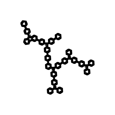 c1ccc(-c2ccc(N(c3ccc(-c4ccc(-c5cccc(N(c6ccc(-c7ccc(N(c8ccccc8)c8ccccc8)cc7)cc6)c6ccc(-c7ccc(N(c8ccccc8)c8ccc(-c9ccc(N(c%10ccccc%10)c%10ccccc%10)cc9)cc8)cc7)cc6)c5)cc4)cc3)c3ccc(-c4ccc5c(c4)c4ccccc4n5-c4ccc(-c5ccccc5)cc4)cc3)cc2)cc1